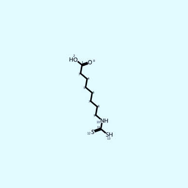 O=C(O)CCCCCCCNC(=S)S